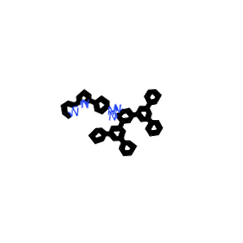 c1ccc(-c2cc(-c3ccccc3)cc(-c3cc(-c4cc(-c5ccccc5)cc(-c5ccccc5)c4)c4nn(-c5ccc(-c6cccc(-c7ccccn7)n6)cc5)nc4c3)c2)cc1